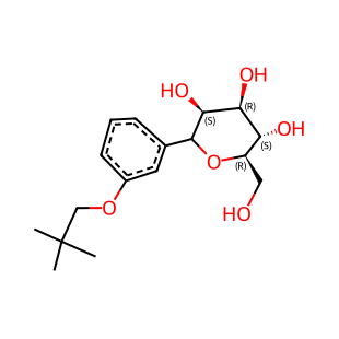 CC(C)(C)COc1cccc(C2O[C@H](CO)[C@@H](O)[C@H](O)[C@@H]2O)c1